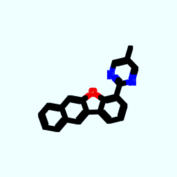 Cc1cnc(-c2cccc3c2oc2cc4ccccc4cc23)nc1